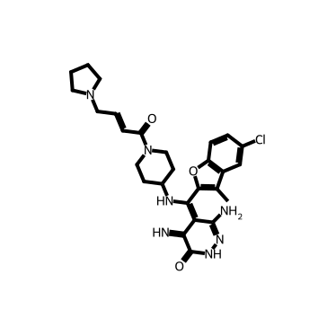 Cc1c(/C(NC2CCN(C(=O)/C=C/CN3CCCC3)CC2)=C2/C(=N)C(=O)NN=C2N)oc2ccc(Cl)cc12